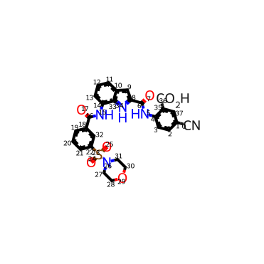 N#Cc1ccc(NC(=O)c2cc3cccc(NC(=O)c4cccc(S(=O)(=O)N5CCOCC5)c4)c3[nH]2)c(C(=O)O)c1